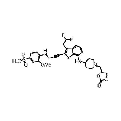 COc1cc(S(C)(=O)=O)ccc1NCC#Cc1sc2c(NC3CCN(CC4COC(=O)O4)CC3)cccc2c1CC(F)F